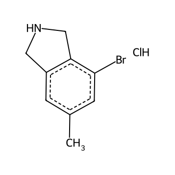 Cc1cc(Br)c2c(c1)CNC2.Cl